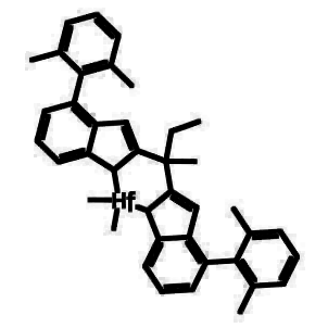 CCC1(C)C2=Cc3c(-c4c(C)cccc4C)cccc3[CH]2[Hf]([CH3])([CH3])[CH]2C1=Cc1c(-c3c(C)cccc3C)cccc12